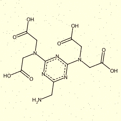 NCc1nc(N(CC(=O)O)CC(=O)O)nc(N(CC(=O)O)CC(=O)O)n1